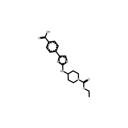 CCOC(=O)N1CCC(Nc2nc(-c3ccc(C(=O)O)cc3)cs2)CC1